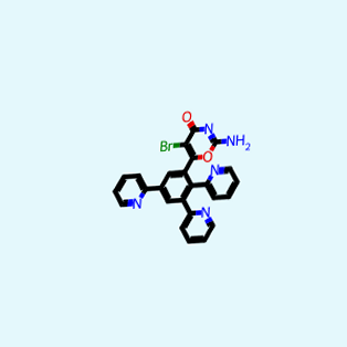 Nc1nc(=O)c(Br)c(-c2cc(-c3ccccn3)cc(-c3ccccn3)c2-c2ccccn2)o1